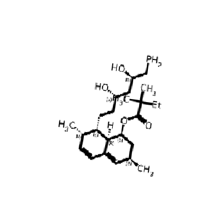 CCC(C)(C)C(=O)O[C@H]1C[C@@H](C)C=C2C=C[C@H](C)[C@H](CC[C@H](O)C[C@@H](O)CP)[C@H]21